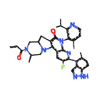 C=CC(=O)N1CC2Cc3c(c4cc(F)c(-c5c(C)ccc6[nH]ncc56)nc4n(-c4c(C)ccnc4C(C)C)c3=O)N2CC1C